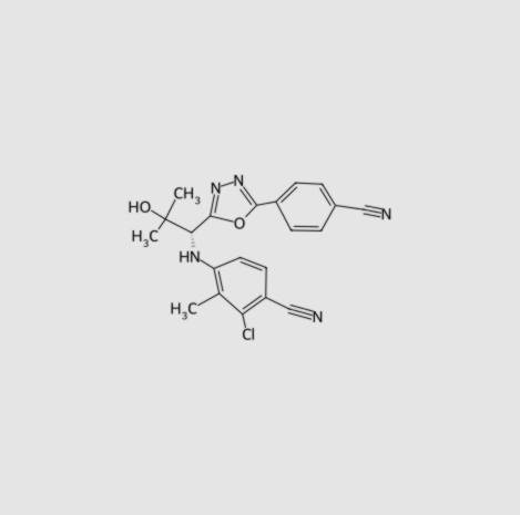 Cc1c(N[C@@H](c2nnc(-c3ccc(C#N)cc3)o2)C(C)(C)O)ccc(C#N)c1Cl